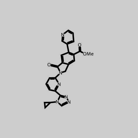 COC(=O)c1cc2c(cc1-c1cccnc1)C(=O)N(c1cccc(-c3nncn3C3CC3)n1)C2